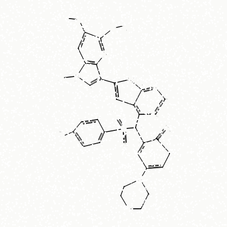 COc1cc2c(nc1OC)c(-c1cc3c(C(C4=CC(N5CCOCC5)=CCC4=N)S(=O)(=O)c4ccc(C)cc4)ccnc3[nH]1)cn2C